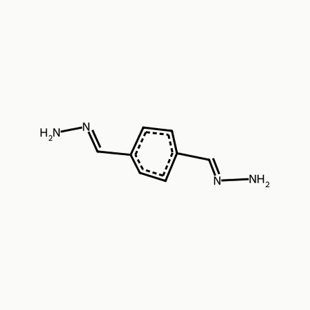 N/N=C/c1ccc(/C=N/N)cc1